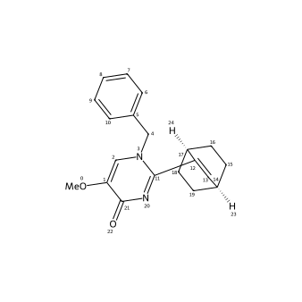 COc1cn(Cc2ccccc2)c(C2=C[C@H]3CC[C@@H]2CC3)nc1=O